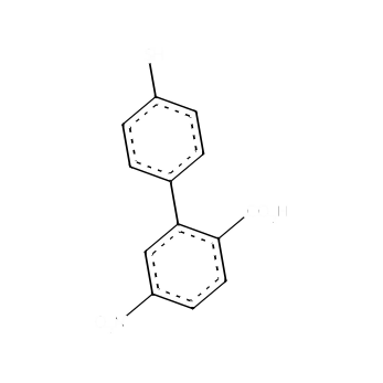 O=C(O)c1ccc([N+](=O)[O-])cc1-c1ccc(S)cc1